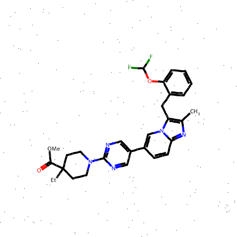 CCC1(C(=O)OC)CCN(c2ncc(-c3ccc4nc(C)c(Cc5ccccc5OC(F)F)n4c3)cn2)CC1